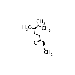 C=C=CC(=O)CCC(C)=C(C)C